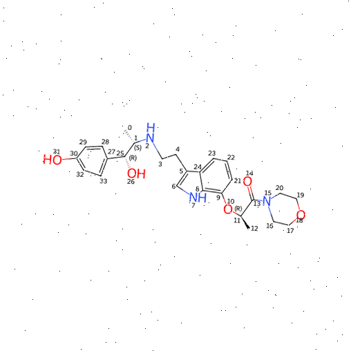 C[C@H](NCCc1c[nH]c2c(O[C@H](C)C(=O)N3CCOCC3)cccc12)[C@H](O)c1ccc(O)cc1